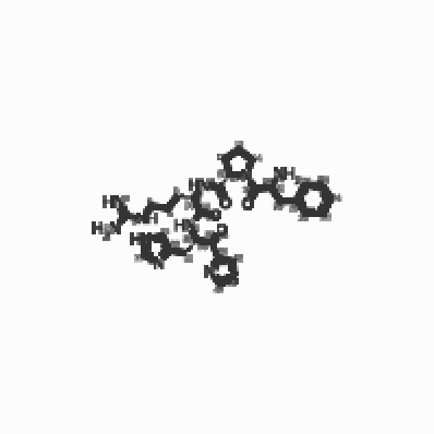 N=C(N)NCCC[C@H](NC(=O)[C@@H]1CCCN1C(=O)[C@@H](N)Cc1ccccc1)C(=O)N[C@@H](Cc1c[nH]cn1)C(=O)c1cs[c]n1